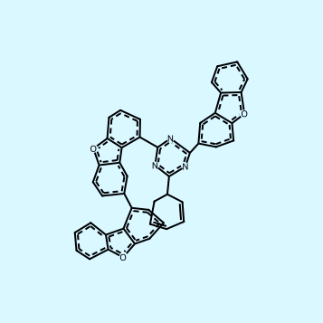 C1=CCC(c2nc(-c3ccc4oc5ccccc5c4c3)nc(-c3cccc4oc5ccc(-c6cccc7oc8ccccc8c67)cc5c34)n2)C=C1